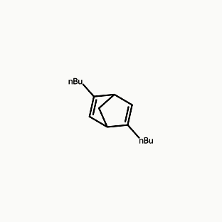 CCCCC1=CC2CC1C=C2CCCC